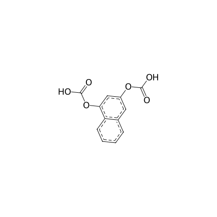 O=C(O)Oc1cc(OC(=O)O)c2ccccc2c1